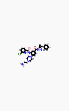 CN(C)CCN1CCN(c2ccc(C(=O)N[C@@H]3C[C@H]3c3ccccc3)cc2NC(=O)c2cccc(Cl)c2)CC1